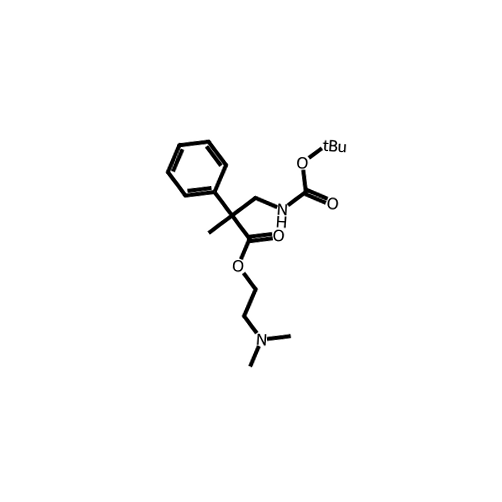 CN(C)CCOC(=O)C(C)(CNC(=O)OC(C)(C)C)c1ccccc1